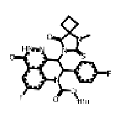 CN1C(=S)N(C2c3n[nH]c(=O)c4cc(F)cc(c34)N(C(=O)OC(C)(C)C)C2c2ccc(F)cc2)C(=O)C12CCC2